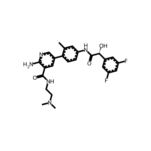 Cc1cc(NC(=O)[C@H](O)c2cc(F)cc(F)c2)ccc1-c1cnc(N)c(C(=O)NCCN(C)C)c1